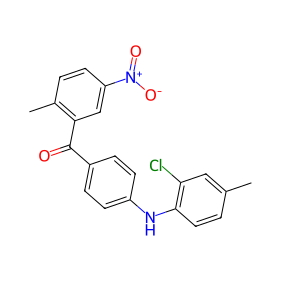 Cc1ccc(Nc2ccc(C(=O)c3cc([N+](=O)[O-])ccc3C)cc2)c(Cl)c1